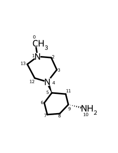 CN1CCN([C@@H]2CCC[C@@H](N)C2)CC1